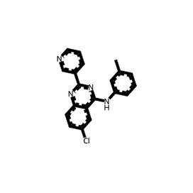 Cc1cccc(Nc2nc(-c3cccnc3)nc3ccc(Cl)cc23)c1